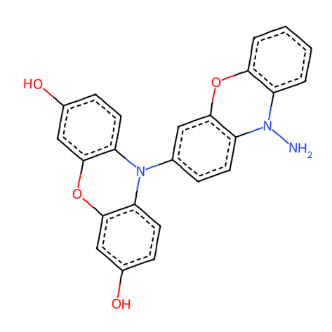 NN1c2ccccc2Oc2cc(N3c4ccc(O)cc4Oc4cc(O)ccc43)ccc21